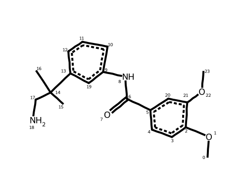 COc1ccc(C(=O)Nc2cccc(C(C)(C)CN)c2)cc1OC